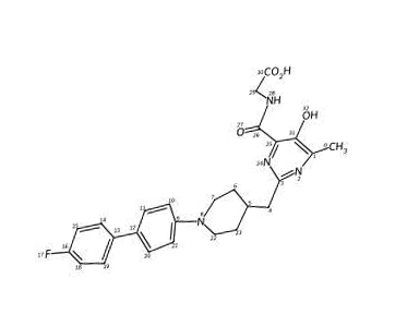 Cc1nc(CC2CCN(c3ccc(-c4ccc(F)cc4)cc3)CC2)nc(C(=O)NCC(=O)O)c1O